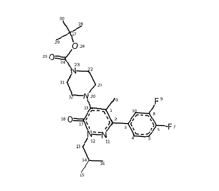 Cc1c(-c2ccc(F)c(F)c2)nn(CC(C)C)c(=O)c1N1CCN(C(=O)OC(C)(C)C)CC1